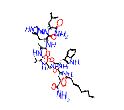 CCCCCCCC(=O)N[C@@H](CCC(N)=O)C(=O)N[C@@H](Cc1c[nH]c2ccccc12)C(=O)N[C@@H](C)C(=O)N[C@H](C(=O)N[C@@H](C)C(=O)N[C@@H](Cc1c[nH]cn1)C(=O)N[C@@H](CC(C)C)C(N)=O)C(C)C